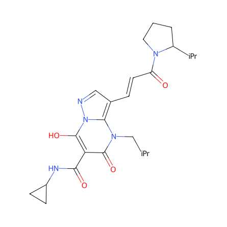 CC(C)Cn1c(=O)c(C(=O)NC2CC2)c(O)n2ncc(C=CC(=O)N3CCCC3C(C)C)c12